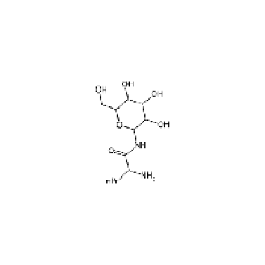 CCCC(N)C(=O)NC1OC(CO)C(O)C(O)C1O